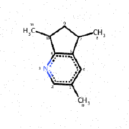 Cc1cnc2c(c1)C(C)CC2C